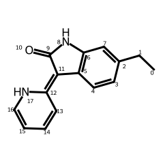 CCc1ccc2c(c1)NC(=O)/C2=C1/C=CC=CN1